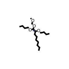 CCCCCCC/C(OCCCC)=C(\OCCCC)OCOC